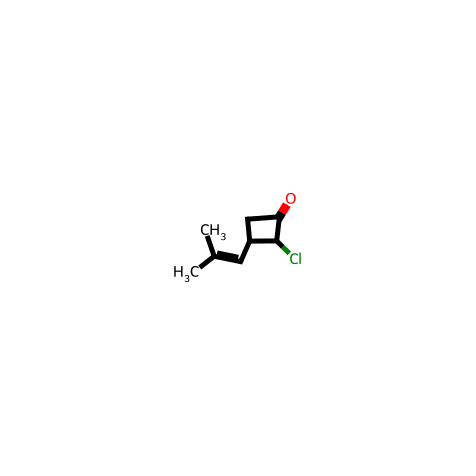 CC(C)=CC1CC(=O)C1Cl